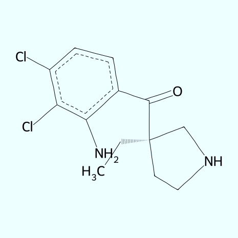 CC[C@@]1(C(=O)c2ccc(Cl)c(Cl)c2N)CCNC1